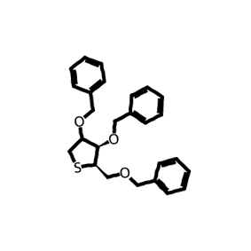 c1ccc(COC[C@H]2SCC(OCc3ccccc3)[C@H]2OCc2ccccc2)cc1